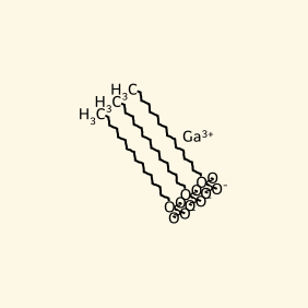 CCCCCCCCCCCCCCCCOS(=O)(=O)[O-].CCCCCCCCCCCCCCCCOS(=O)(=O)[O-].CCCCCCCCCCCCCCCCOS(=O)(=O)[O-].[Ga+3]